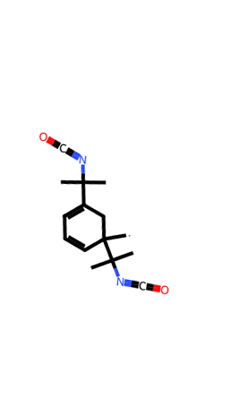 [CH2]C1(C(C)(C)N=C=O)C=CC=C(C(C)(C)N=C=O)C1